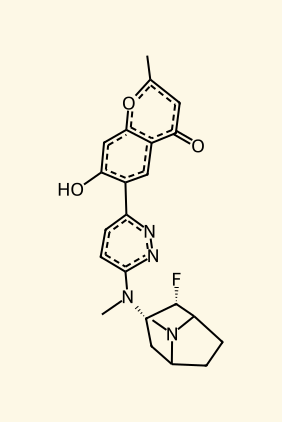 Cc1cc(=O)c2cc(-c3ccc(N(C)[C@H]4CC5CCC([C@H]4F)N5C)nn3)c(O)cc2o1